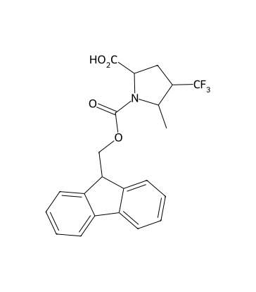 CC1C(C(F)(F)F)CC(C(=O)O)N1C(=O)OCC1c2ccccc2-c2ccccc21